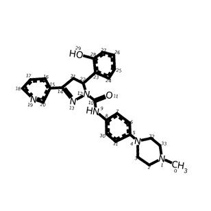 CN1CCN(c2ccc(NC(=O)N3N=C(c4cccnc4)CC3c3ccccc3O)cc2)CC1